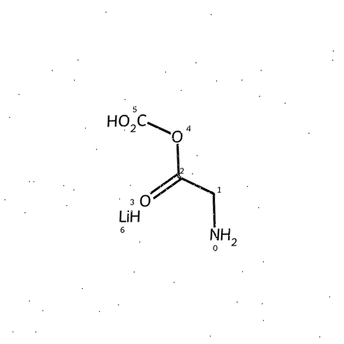 NCC(=O)OC(=O)O.[LiH]